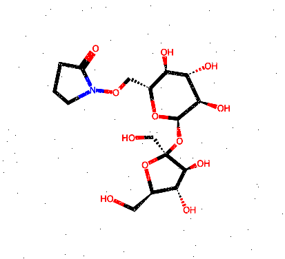 O=C1CCCN1OC[C@H]1O[C@H](O[C@]2(CO)O[C@H](CO)[C@@H](O)[C@@H]2O)[C@H](O)[C@@H](O)[C@@H]1O